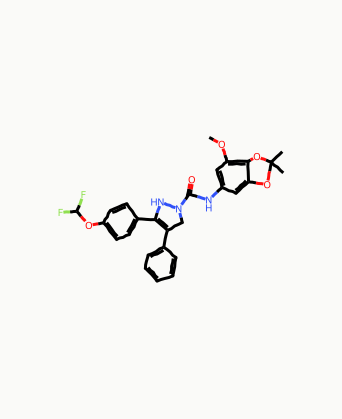 COc1cc(NC(=O)N2CC(c3ccccc3)=C(c3ccc(OC(F)F)cc3)N2)cc2c1OC(C)(C)O2